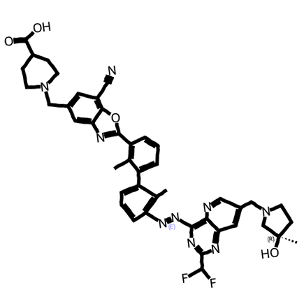 Cc1c(/N=N/c2nc(C(F)F)nc3cc(CN4CC[C@@](C)(O)C4)cnc23)cccc1-c1cccc(-c2nc3cc(CN4CCC(C(=O)O)CC4)cc(C#N)c3o2)c1C